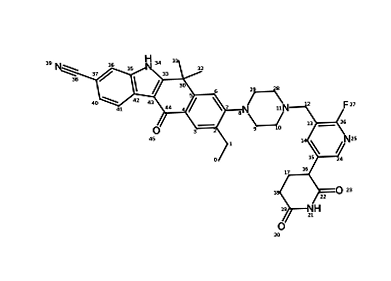 CCc1cc2c(cc1N1CCN(Cc3cc(C4CCC(=O)NC4=O)cnc3F)CC1)C(C)(C)c1[nH]c3cc(C#N)ccc3c1C2=O